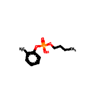 CCCCOP(=O)(O)Oc1ccccc1C